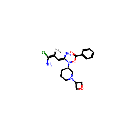 CC(/C=C(\N)N(OC(=O)c1ccccc1)[C@@H]1CCCN(C2COC2)C1)=C(/N)Cl